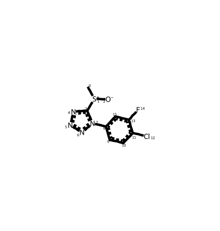 C[S+]([O-])c1nnnn1-c1ccc(Cl)c(F)c1